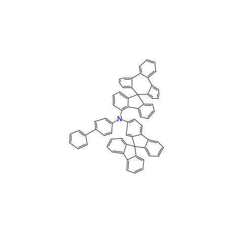 c1ccc(-c2ccc(N(c3ccc4c(c3)C3(c5ccccc5-c5ccccc53)c3ccccc3-4)c3cccc4c3-c3ccccc3C43c4ccccc4-c4ccccc4-c4ccccc43)cc2)cc1